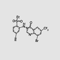 C#Cc1ccc(S(=O)(=O)CC)c(Nn2cnc3c(Br)cc(C(F)(F)F)cc3c2=O)c1